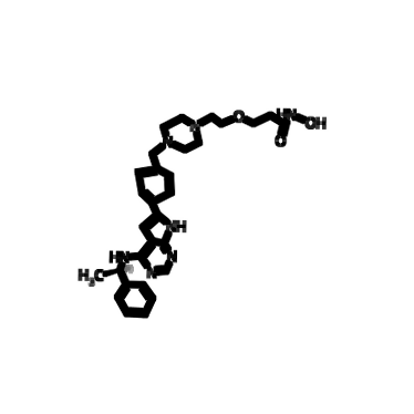 C[C@@H](Nc1ncnc2[nH]c(-c3ccc(CN4CCN(CCOCCC(=O)NO)CC4)cc3)cc12)c1ccccc1